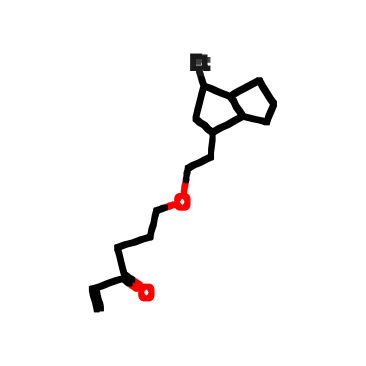 C=CC(=O)CCCOCCC1CC(CC)C2CCCC12